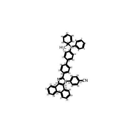 CC1(N(c2ccccc2)c2ccc(-c3ccc(-c4nc5c6ccccc6c6ccccc6c5n4-c4ccc(C#N)cc4)cc3)cc2)C=CC=CC1